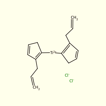 C=CCC1=[C]([Ti+2][C]2=C(CC=C)C=CC2)CC=C1.[Cl-].[Cl-]